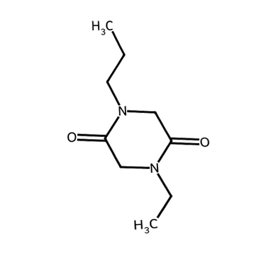 CCCN1CC(=O)N(CC)CC1=O